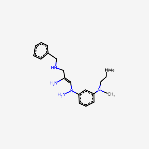 CNCCN(C)c1cccc(N(N)/C=C(\N)CNCc2ccccc2)c1